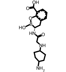 NC1CCC(NCC(=O)N[C@H]2Cc3cccc(C(=O)O)c3OB2O)CC1